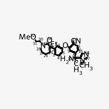 CC[C@]1(c2cccc(Oc3cc(C(C)(N)c4cncn4C)ccc3C#N)c2)CCCCN(CCOC)C1=O